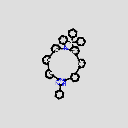 c1ccc(-c2nc3nc(n2)-c2cccc(c2)-c2cccc(c2)-c2ccc4c(c2)N(c2cccc(c2)-c2cccc(c2)-c2cccc-3c2)c2ccccc2[Si]4(c2ccccc2)c2ccccc2)cc1